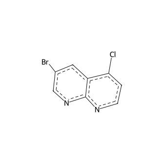 Clc1ccnc2ncc(Br)cc12